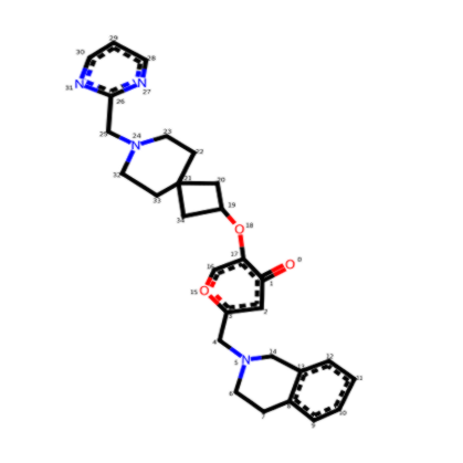 O=c1cc(CN2CCc3ccccc3C2)occ1OC1CC2(CCN(Cc3ncccn3)CC2)C1